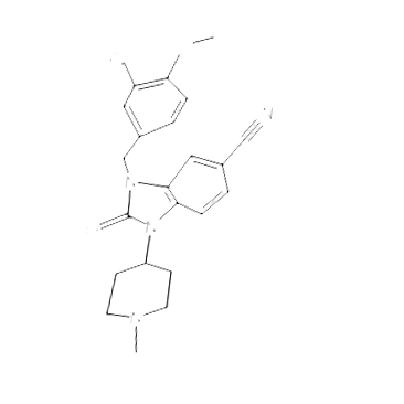 COc1ccc(Cn2c(=O)n(C3CCN(C)CC3)c3ccc(C#N)cc32)cc1Cl